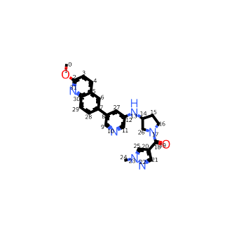 COc1ccc2cc(-c3cncc(NC4CCN(C(=O)c5cnn(C)c5)C4)c3)ccc2n1